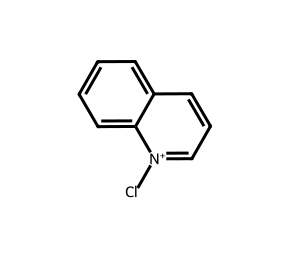 Cl[n+]1cccc2ccccc21